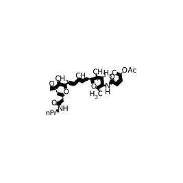 CCCNC(=O)C[C@@H]1C[C@@]2(CO2)C(C)[C@@H](/C=C/C(C)=C/C[C@@H]2O[C@H](C)[C@H](NC(=O)/C=C\[C@H](C)OC(C)=O)C[C@@H]2C)O1